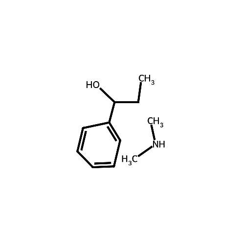 CCC(O)c1ccccc1.CNC